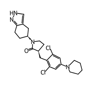 O=C1[C@H](Cc2c(Cl)cc(N3CCCCC3)cc2Cl)CCN1[C@H]1CCc2n[nH]cc2C1